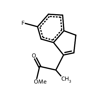 COC(=O)C(C)C1=CCc2ccc(F)cc21